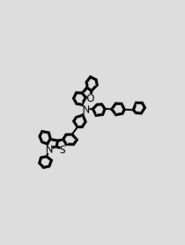 c1ccc(-c2ccc(-c3ccc(N(c4ccc(-c5ccc6sc7c(c6c5)c5ccccc5n7-c5ccccc5)cc4)c4cccc5c4oc4ccccc45)cc3)cc2)cc1